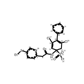 CCSc1ccc(CC(=O)NC2(S(=O)(=O)CC)C=C(Cl)C(c3ccccc3)=C(Cl)C2)nc1